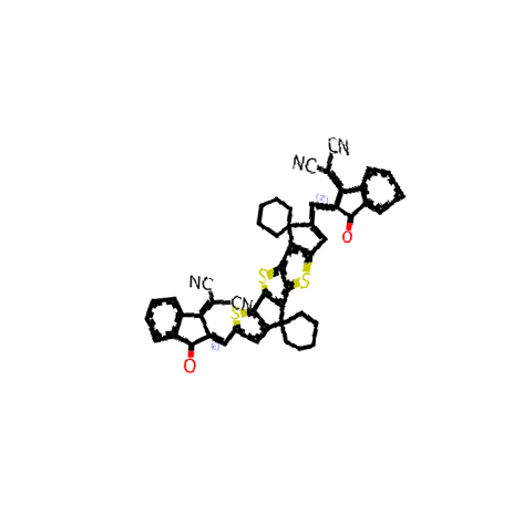 N#CC(C#N)=C1/C(=C/C2=Cc3sc4c5c(sc4c3C23CCCCC3)-c2sc(/C=C3/C(=O)c4ccccc4C3=C(C#N)C#N)cc2C52CCCCC2)C(=O)c2ccccc21